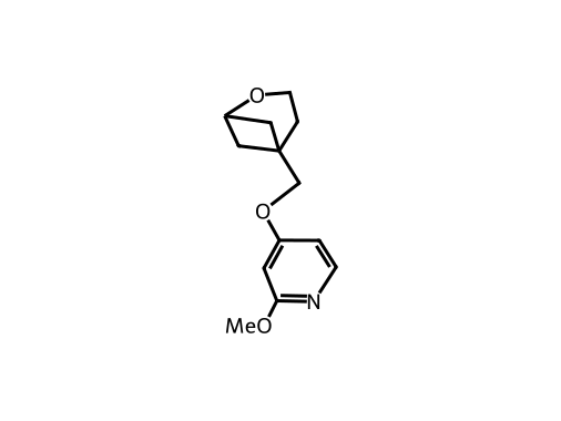 COc1cc(OCC23CCOC(C2)C3)ccn1